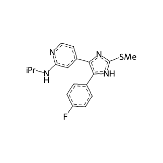 CSc1nc(-c2ccnc(NC(C)C)c2)c(-c2ccc(F)cc2)[nH]1